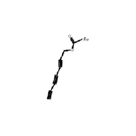 C#CC#CC#CCOC(=O)C(C)(C)C